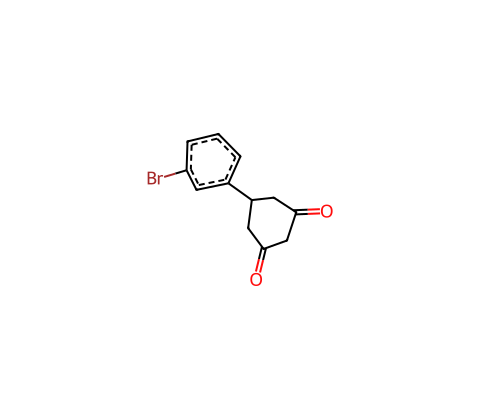 O=C1CC(=O)CC(c2cccc(Br)c2)C1